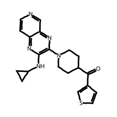 O=C(c1ccsc1)C1CCN(c2nc3cnccc3nc2NC2CC2)CC1